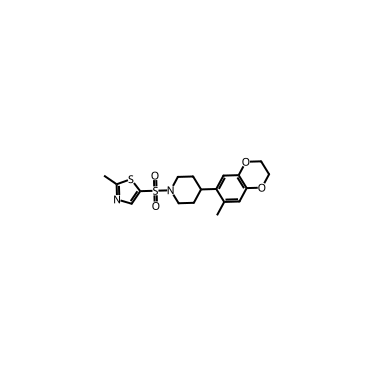 Cc1ncc(S(=O)(=O)N2CCC(c3cc4c(cc3C)OCCO4)CC2)s1